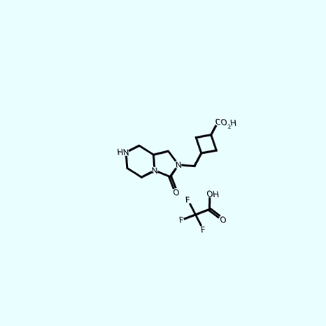 O=C(O)C(F)(F)F.O=C(O)C1CC(CN2CC3CNCCN3C2=O)C1